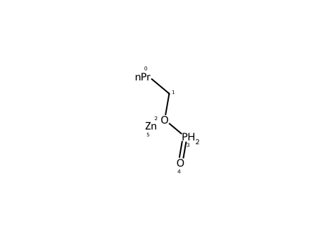 CCCCO[PH2]=O.[Zn]